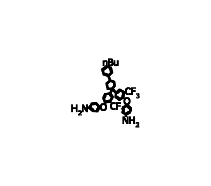 CCCCc1ccc(C2CCC(c3ccc(Oc4ccc(N)cc4)c(C(F)(F)F)c3)(c3ccc(Oc4ccc(N)cc4)c(C(F)(F)F)c3)CC2)cc1